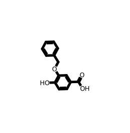 O=C(O)c1ccc(O)c(OCc2ccccc2)c1